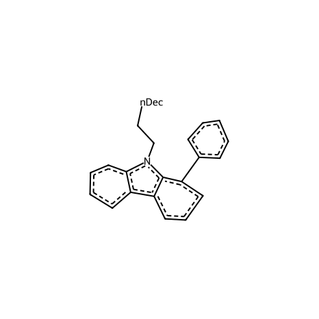 CCCCCCCCCCCCn1c2ccccc2c2cccc(-c3ccccc3)c21